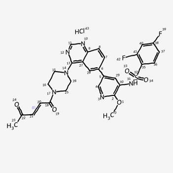 COc1ncc(-c2ccc3ncnc(N4CCN(C(=O)/C=C/C(C)=O)CC4)c3c2)cc1NS(=O)(=O)c1ccc(F)cc1F.Cl